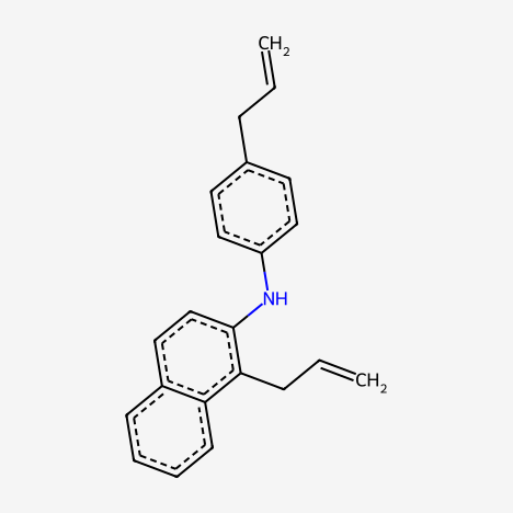 C=CCc1ccc(Nc2ccc3ccccc3c2CC=C)cc1